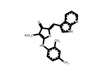 CCOC(=O)C1=C(Nc2ccc(C)cc2C)O/C(=C\c2c[nH]c3ncccc23)C1=O